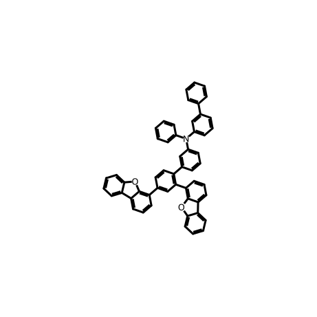 c1ccc(-c2cccc(N(c3ccccc3)c3cccc(-c4ccc(-c5cccc6c5oc5ccccc56)cc4-c4cccc5c4oc4ccccc45)c3)c2)cc1